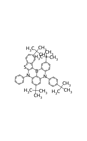 CC(C)(C)c1ccc(N2c3ccc(C(C)(C)C)cc3B3c4c2cc(C(C)(C)C)cc4N(c2ccccc2)c2sc4ccc(C(C)(C)C)cc4c23)cc1